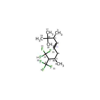 CC(/C=C/C[C@@H](C)C(C(F)(F)F)C(F)(F)F)C(C)(C)C